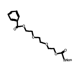 CCCCCCCCCC(=O)OCCOCCOCCOC(=O)c1ccccc1